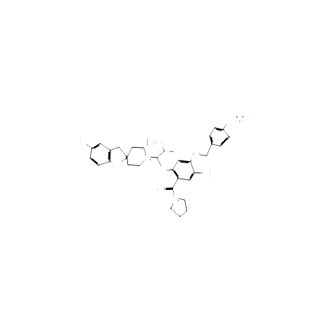 COc1ccc(COc2cc(OC([C@H](C)O)N3CCC4(CC3)Cc3cc(F)ccc3O4)c(C(=O)N3CCCC3)cc2Cl)cc1